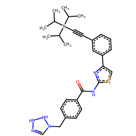 CC(C)[Si](C#Cc1cccc(-c2csc(NC(=O)c3ccc(CN4C=NNN4)cc3)n2)c1)(C(C)C)C(C)C